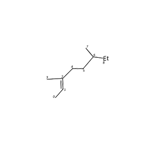 CC=C(C)CCC(C)CC